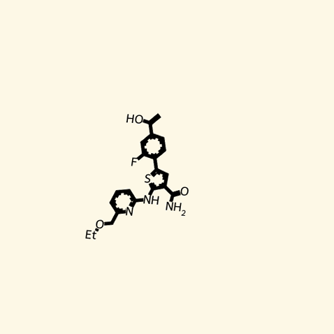 C=C(O)c1ccc(-c2cc(C(N)=O)c(Nc3cccc(COCC)n3)s2)c(F)c1